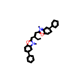 CC/C(C=C1Oc2ccc(-c3ccccc3)cc2N1C)=C\c1oc2ccc(-c3ccccc3)cc2[n+]1C